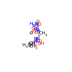 CC(CC1CC1c1cnc2c(n1)c(C(=O)O)cn2COCC[Si](C)(C)C)N1CCn2c(CNC(=O)C3(N)CCCCC3)cc(=O)c(OCc3ccccc3)c2C1=O